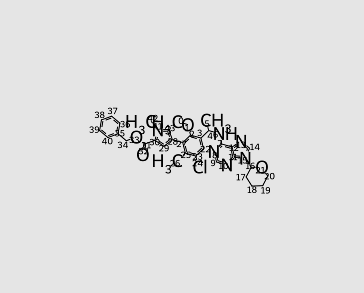 COc1c(C(C)Nc2ncnc3c2ncn3C2CCCCO2)cc(Cl)c(C)c1-c1cc(C(=O)OCc2ccccc2)n(C)c1